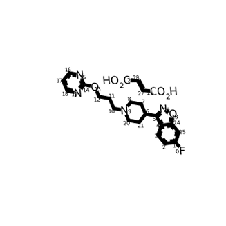 Fc1ccc2c(C3CCN(CCCOc4ncccn4)CC3)noc2c1.O=C(O)C=CC(=O)O